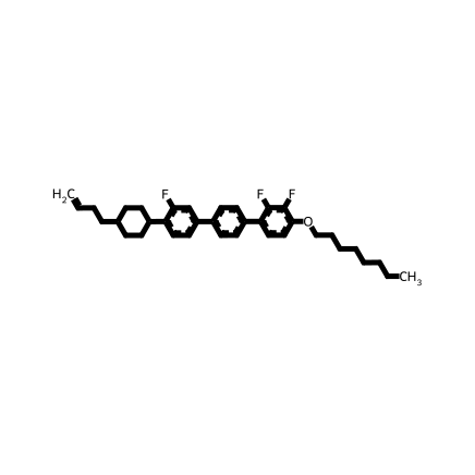 C=CCCC1CCC(c2ccc(-c3ccc(-c4ccc(OCCCCCCCC)c(F)c4F)cc3)cc2F)CC1